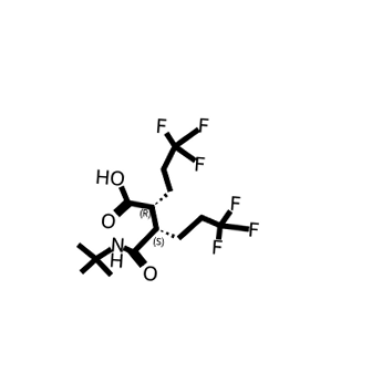 CC(C)(C)NC(=O)[C@@H](CCC(F)(F)F)[C@@H](CCC(F)(F)F)C(=O)O